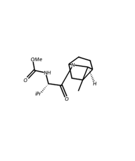 COC(=O)N[C@H](C(=O)N1C2CCC(CC2)[C@H]1C)C(C)C